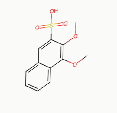 COc1c(S(=O)(=O)O)cc2ccccc2c1OC